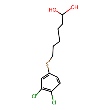 OC(O)CCCCCSc1ccc(Cl)c(Cl)c1